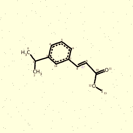 CC(C)c1cccc(/C=C/C(=O)OI)c1